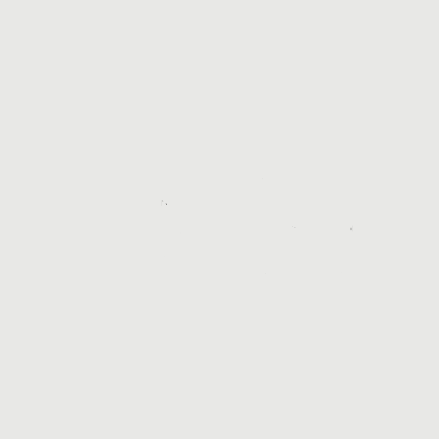 O=C1c2cccc(O)c2C(=O)c2c(O)cc(C(=O)N3CCc4ccccc4C3)cc21